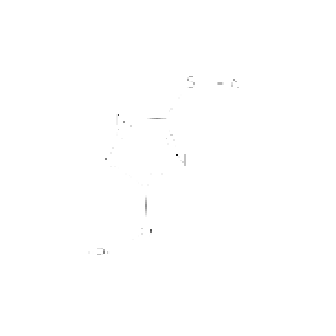 CCCOc1nc(SC(C)=O)ns1